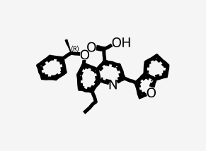 CCc1ccc(O[C@H](C)c2ccccc2)c2c(C(=O)O)cc(-c3coc4ccccc34)nc12